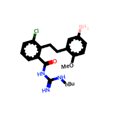 Bc1ccc(OC)c(CCc2c(Cl)cccc2C(=O)NC(=N)NCCCC)c1